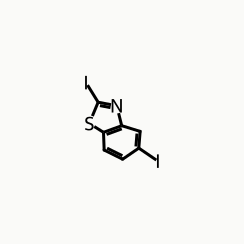 Ic1ccc2sc(I)nc2c1